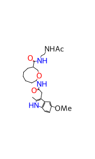 COc1ccc2[nH]c(C)c(CC(=O)N[C@@H]3CCCCCC(C(=O)NCCNC(C)=O)CO3)c2c1